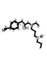 CCC[S+]([O-])CCCN(CC)CC(O)Cc1ccc(C#N)cc1